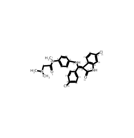 CN(C)CC(=O)N(C)c1ccc(NC(=C2C(=O)Nc3cc(Cl)ccc32)c2ccc(Cl)cc2)cc1